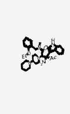 CCOc1ccccc1CN(C)C(=O)C(N1CCC(N2CCCCC2)CC1)C(N)(C(C)=O)c1c[nH]c2ccccc12